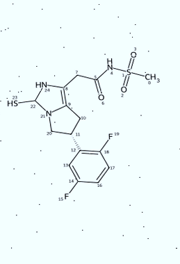 CS(=O)(=O)NC(=O)CC1=C2C[C@H](c3cc(F)ccc3F)CN2C(S)N1